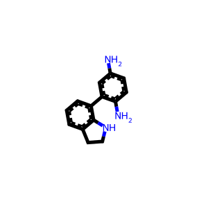 Nc1ccc(N)c(-c2cccc3c2NCC3)c1